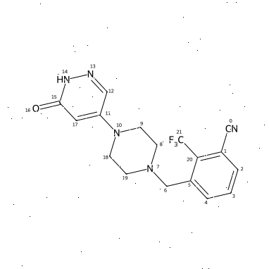 N#Cc1cccc(CN2CCN(c3cn[nH]c(=O)c3)CC2)c1C(F)(F)F